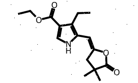 CCOC(=O)c1c[nH]c(/C=C2\CC(C)(C)C(=O)O2)c1CC